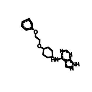 c1ccc(OCCOC2CCC(Nc3ncnc4[nH]ncc34)CC2)cc1